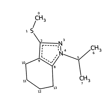 CSc1nn(C(C)C)c2c1CCCC2